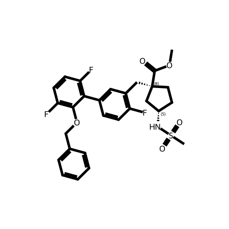 COC(=O)[C@@]1(Cc2cc(-c3c(F)ccc(F)c3OCc3ccccc3)ccc2F)CC[C@H](NS(C)(=O)=O)C1